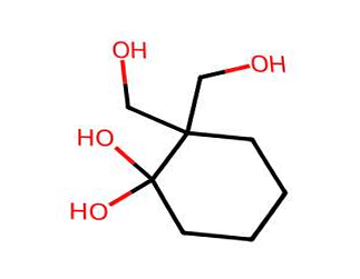 OCC1(CO)CCCCC1(O)O